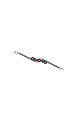 CCCCCCCCCCCCc1ccc2cc3c(cc2c1)oc1cc2c(cc13)oc1cc3cc(CCCCCCCCCCCC)ccc3cc12